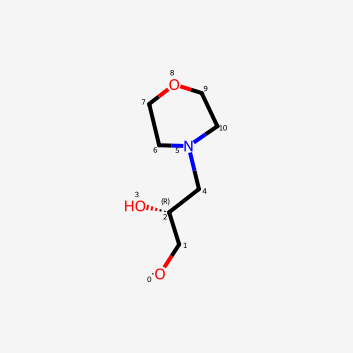 [O]C[C@H](O)CN1CCOCC1